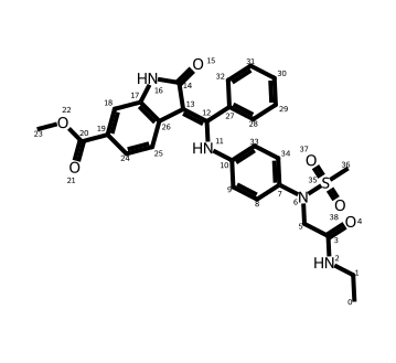 CCNC(=O)CN(c1ccc(NC(=C2C(=O)Nc3cc(C(=O)OC)ccc32)c2ccccc2)cc1)S(C)(=O)=O